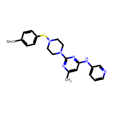 COc1ccc(SN2CCN(c3nc(C)cc(Nc4cccnc4)n3)CC2)cc1